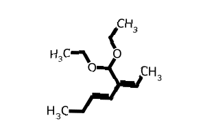 CC=C(/C=C/CC)C(OCC)OCC